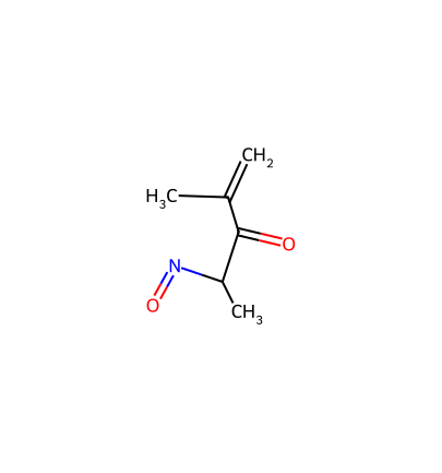 C=C(C)C(=O)C(C)N=O